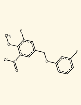 COc1c(F)cc(COc2cccc(F)c2)cc1[N+](=O)[O-]